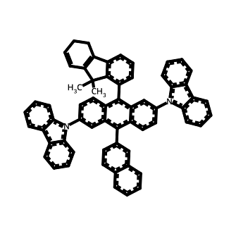 CC1(C)C2=C(CCC=C2)c2cccc(-c3c4ccc(-n5c6ccccc6c6ccccc65)cc4c(-c4ccc5ccccc5c4)c4ccc(-n5c6ccccc6c6ccccc65)cc34)c21